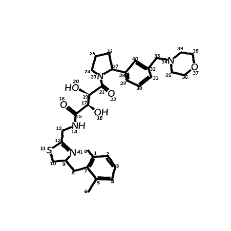 Cc1cccc(C)c1CC1CSC(CNC(=O)[C@H](O)[C@@H](O)C(=O)N2CCCC2c2cccc(CN3CCOCC3)c2)=N1